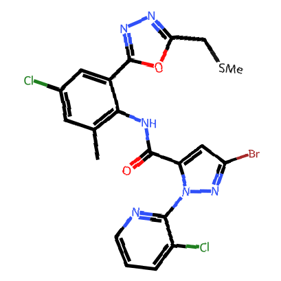 CSCc1nnc(-c2cc(Cl)cc(C)c2NC(=O)c2cc(Br)nn2-c2ncccc2Cl)o1